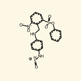 O=[N+]([O-])c1cccc(S(=O)(=O)Oc2ccccc2)c1CNc1ccc(N[SH](=O)=O)cc1